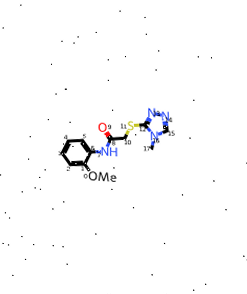 COc1ccccc1NC(=O)CSc1nncn1C